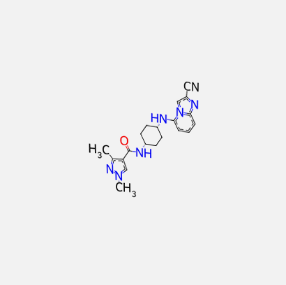 Cc1nn(C)cc1C(=O)N[C@H]1CC[C@@H](Nc2cccc3nc(C#N)cn23)CC1